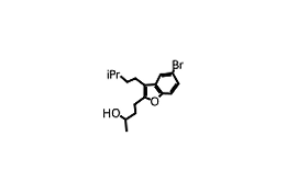 CC(C)CCc1c(CCC(C)O)oc2ccc(Br)cc12